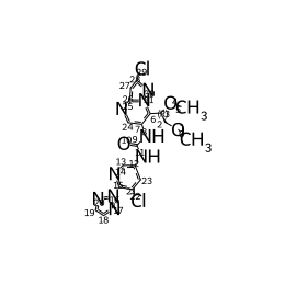 COC[C@H](OC)c1c(NC(=O)Nc2cnc(-n3nccn3)c(Cl)c2)cnc2cc(Cl)nn12